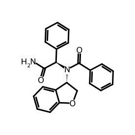 NC(=O)[C@@H](c1ccccc1)N(C(=O)c1ccccc1)[C@@H]1COc2ccccc21